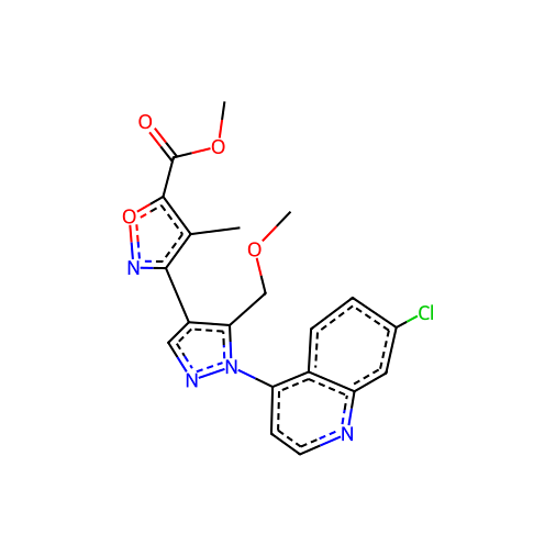 COCc1c(-c2noc(C(=O)OC)c2C)cnn1-c1ccnc2cc(Cl)ccc12